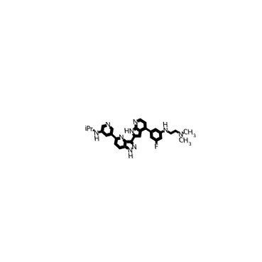 CC(C)Nc1cncc(-c2ccc3[nH]nc(-c4cc5c(-c6cc(F)cc(NCCN(C)C)c6)ccnc5[nH]4)c3n2)c1